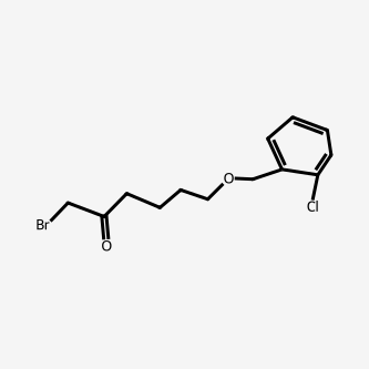 O=C(CBr)CCCCOCc1ccccc1Cl